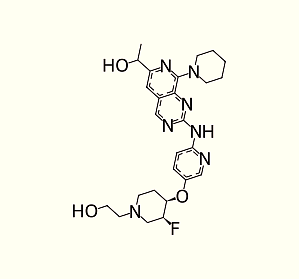 CC(O)c1cc2cnc(Nc3ccc(O[C@@H]4CCN(CCO)C[C@@H]4F)cn3)nc2c(N2CCCCC2)n1